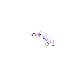 O=C(N[C@H](c1cn2ncc(CC34CCCC(C3)N(S(=O)(=O)c3ccc([N+](=O)[O-])cc3)C4=O)cc2n1)C1CCC(F)(F)CC1)c1nonc1C1CC1